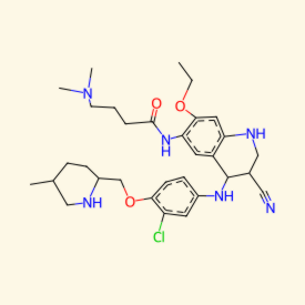 CCOc1cc2c(cc1NC(=O)CCCN(C)C)C(Nc1ccc(OCC3CCC(C)CN3)c(Cl)c1)C(C#N)CN2